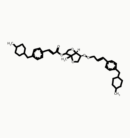 CC1CCC(Cc2ccc(/C=C/COO[C@H]3COC4(C)C(OC(=O)/C=C/c5ccc(CC6CCC(C)CC6)cc5)CO[C@H]34)cc2)CC1